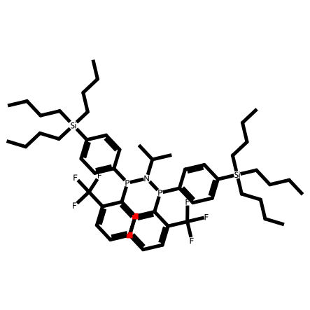 CCCC[Si](CCCC)(CCCC)c1ccc(P(c2ccccc2C(F)(F)F)N(C(C)C)P(c2ccc([Si](CCCC)(CCCC)CCCC)cc2)c2ccccc2C(F)(F)F)cc1